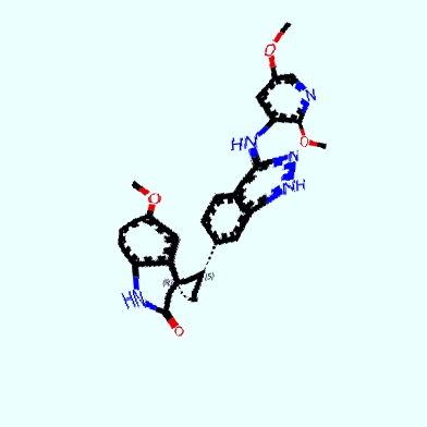 COc1cnc(OC)c(Nc2n[nH]c3cc([C@@H]4C[C@@]45C(=O)Nc4ccc(OC)cc45)ccc23)c1